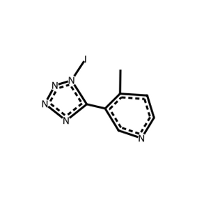 Cc1ccncc1-c1nnnn1I